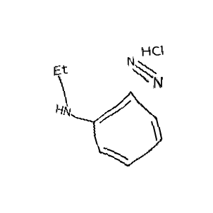 CCNc1ccccc1.Cl.N#N